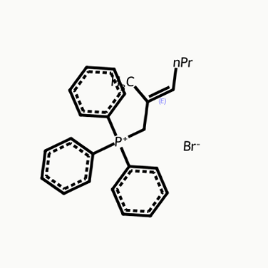 CCC/C=C(\C)C[P+](c1ccccc1)(c1ccccc1)c1ccccc1.[Br-]